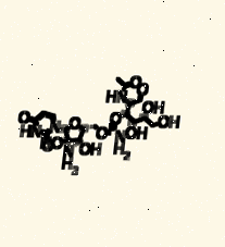 CC(=O)N[C@@H](C=O)[C@@H](OP(N)OC[C@H]1O[C@@H](n2ccc(=O)[nH]c2=O)[C@](N)(O)[C@@H]1O)[C@@H](O)[C@H](O)CO